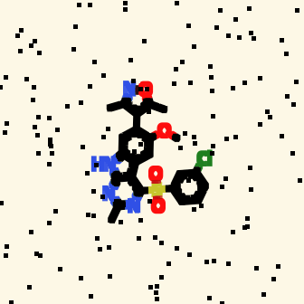 COc1cc2c(cc1-c1c(C)noc1C)[nH]c1nc(C)nc(S(=O)(=O)c3cccc(Cl)c3)c12